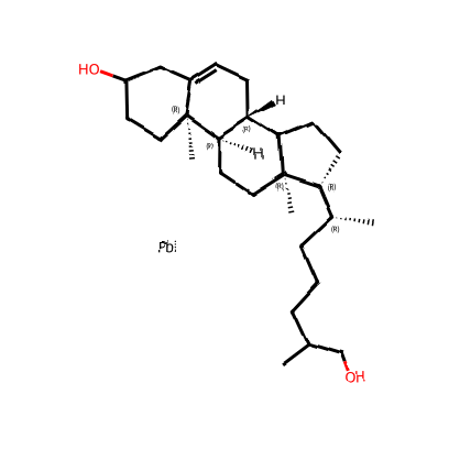 CC(CO)CCC[C@@H](C)[C@H]1CCC2[C@H]3CC=C4CC(O)CC[C@]4(C)[C@@H]3CC[C@@]21C.[Pb]